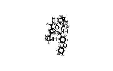 C[C@@H](NC(=O)[C@@H]1C[C@]2(C)C[C@@H]2N1C(=O)CNC(=O)c1ccc(Oc2ccccc2)cc1)c1cc(-c2ncc[nH]2)cs1